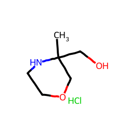 CC1(CO)COCCN1.Cl